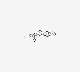 N#Cc1ccc2c3ccc(-c4ccc(-c5cc6ccc7cc(-c8ccccn8)cc8ccc(c5)c6c78)c5ccccc45)cc3n(-c3ccccc3)c2c1